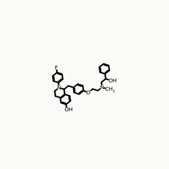 CN(CCOc1ccc(CC2c3ccc(O)cc3CCN2c2ccc(F)cc2)cc1)CC(O)c1ccccc1